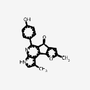 Cc1cc2c(o1)-c1c(c(-c3ccc(O)cc3)nc3[nH]cc(C)c13)C2=O